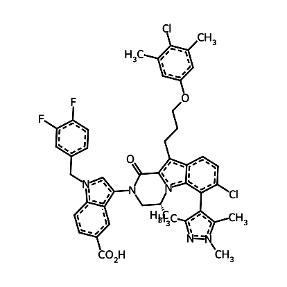 Cc1cc(OCCCc2c3n(c4c(-c5c(C)nn(C)c5C)c(Cl)ccc24)[C@H](C)CN(c2cn(Cc4ccc(F)c(F)c4)c4ccc(C(=O)O)cc24)C3=O)cc(C)c1Cl